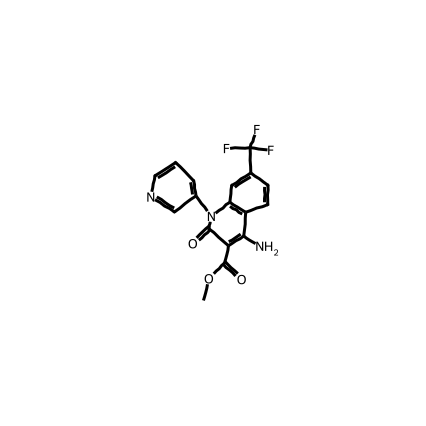 COC(=O)c1c(N)c2ccc(C(F)(F)F)cc2n(-c2cccnc2)c1=O